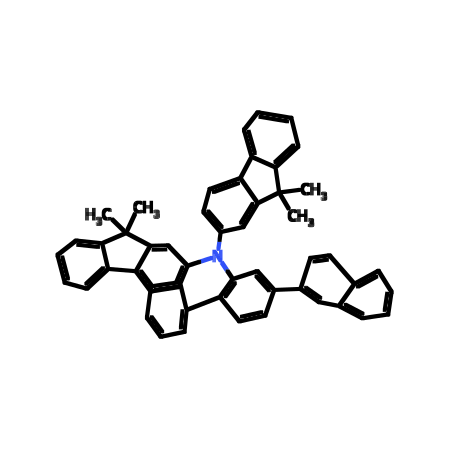 CC1(C)c2ccccc2-c2ccc(N(c3ccc4c(c3)C(C)(C)c3ccccc3-4)c3cc(-c4ccc5ccccc5c4)ccc3-c3ccccc3)cc21